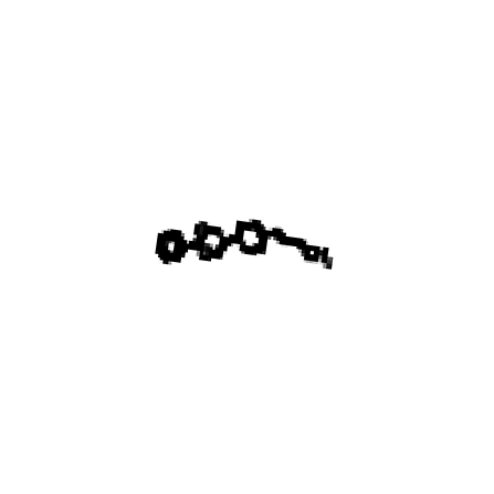 CCCC[C@H]1CC[C@H]([C@H]2CO[C@H](c3ccccc3)OC2)CC1